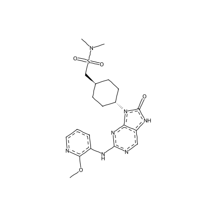 COc1ncccc1Nc1ncc2[nH]c(=O)n([C@H]3CC[C@H](CS(=O)(=O)N(C)C)CC3)c2n1